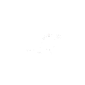 C=CCC1C=C(C)CC(C)CC(OC)C2OC(O)(C(=O)C(=O)N3CCCCC3C(=O)OC(C(C)=CC3CCC(OC)C(OC)C3)C(C)C=CC1=O)C(C)CC2OC